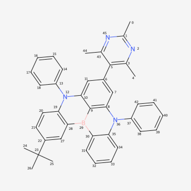 Cc1nc(C)c(-c2cc3c4c(c2)N(c2ccccc2)c2ccc(C(C)(C)C)cc2B4c2ccccc2N3c2ccccc2)c(C)n1